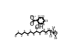 CCCCCCCCCCCC[N+](C)(C)OC.O=C([O-])c1ccccc1O